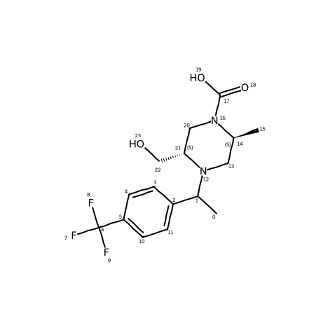 CC(c1ccc(C(F)(F)F)cc1)N1C[C@H](C)N(C(=O)O)C[C@H]1CO